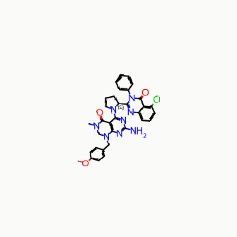 COc1ccc(CN2CN(C)C(=O)c3c2nc(N)nc3N2CCC[C@H]2c2nc3cccc(Cl)c3c(=O)n2-c2ccccc2)cc1